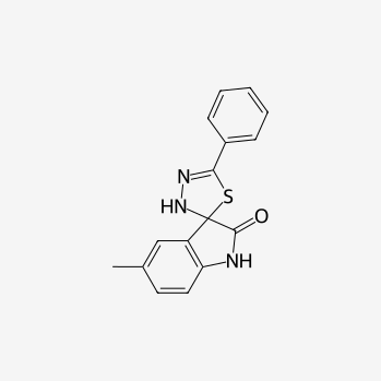 Cc1ccc2c(c1)C1(NN=C(c3ccccc3)S1)C(=O)N2